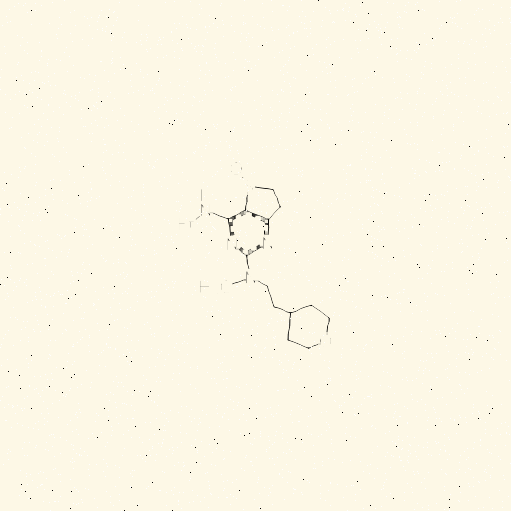 CCNc1nc(N(C)CCC2CCOCC2)nc2c1[S+]([O-])CC2